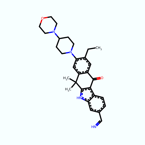 CCc1cc2c(cc1N1CCC(N3CCOCC3)CC1)C(C)(C)c1[nH]c3cc(C=N)ccc3c1C2=O